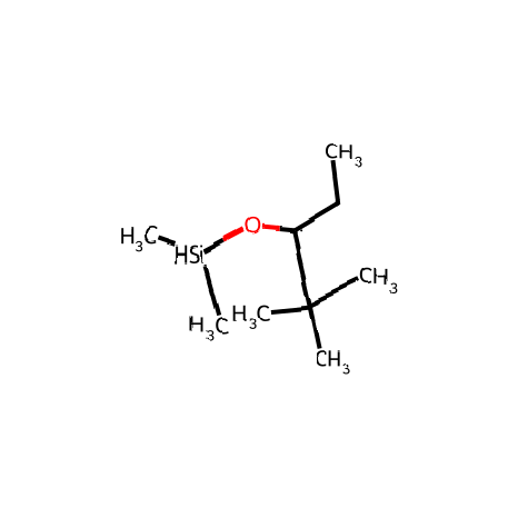 CC[C](O[SiH](C)C)C(C)(C)C